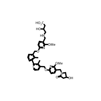 COc1nc(OCc2cccc(-c3cccc(COc4ccc(CN5CC(O)CC5=O)c(OC)n4)c3C)c2C)ccc1CNCC(O)CC(=O)O